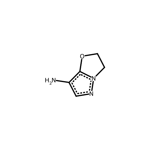 Nc1cnn2c1OCC2